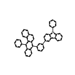 c1ccc(-c2c3ccccc3c(-c3cccc(-c4ccc5c(c4)c4ccccc4n5-c4ccccc4)c3)c3ccc4ccccc4c23)cc1